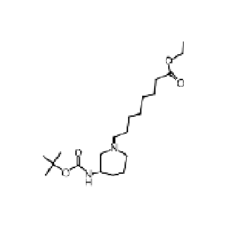 CCOC(=O)CCCCCCCN1CCC[C@@H](NC(=O)OC(C)(C)C)C1